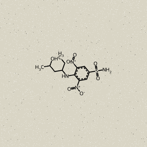 CCC(CC(C)O)Nc1c([N+](=O)[O-])cc(S(N)(=O)=O)cc1[N+](=O)[O-]